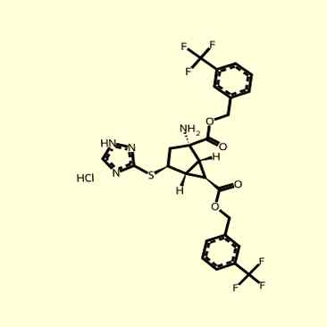 Cl.N[C@@]1(C(=O)OCc2cccc(C(F)(F)F)c2)C[C@H](Sc2nc[nH]n2)[C@H]2[C@H](C(=O)OCc3cccc(C(F)(F)F)c3)[C@H]21